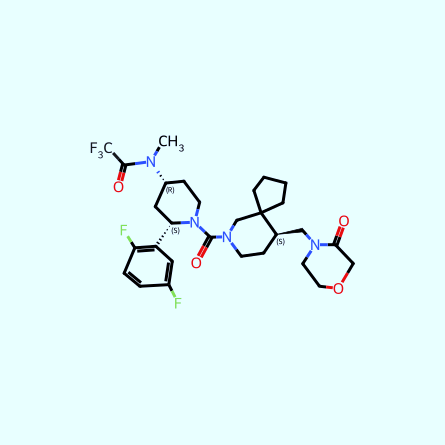 CN(C(=O)C(F)(F)F)[C@@H]1CCN(C(=O)N2CC[C@H](CN3CCOCC3=O)C3(CCCC3)C2)[C@H](c2cc(F)ccc2F)C1